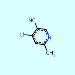 Cc1cc(Cl)c(C#N)cn1